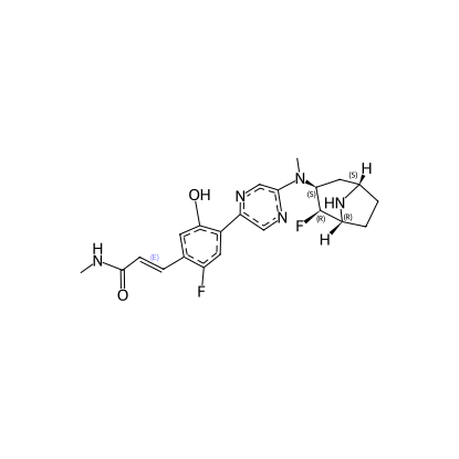 CNC(=O)/C=C/c1cc(O)c(-c2cnc(N(C)[C@H]3C[C@@H]4CC[C@@H](N4)[C@H]3F)cn2)cc1F